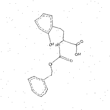 O=C(NC(Cc1ccccc1O)C(=O)O)OCc1ccccc1